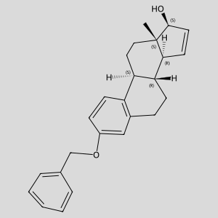 C[C@]12CC[C@@H]3c4ccc(OCc5ccccc5)cc4CC[C@H]3[C@@H]1C=C[C@@H]2O